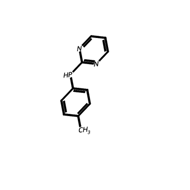 Cc1ccc(Pc2ncccn2)cc1